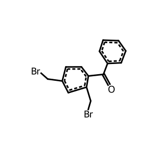 O=C(c1ccccc1)c1ccc(CBr)cc1CBr